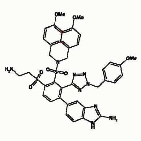 COc1ccc(CN(Cc2ccc(OC)cc2)S(=O)(=O)c2c(S(=O)(=O)CCN)ccc(-c3ccc4[nH]c(N)nc4c3)c2-c2nnn(Cc3ccc(OC)cc3)n2)cc1